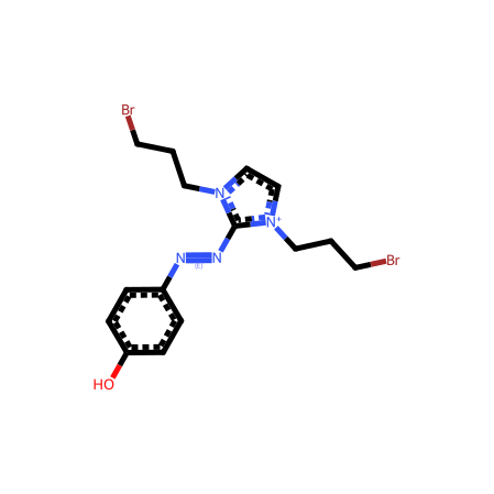 Oc1ccc(/N=N/c2n(CCCBr)cc[n+]2CCCBr)cc1